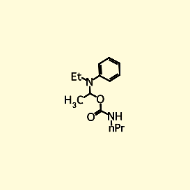 CCCNC(=O)OC(C)N(CC)c1ccccc1